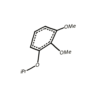 [CH2]C(C)Oc1cccc(OC)c1OC